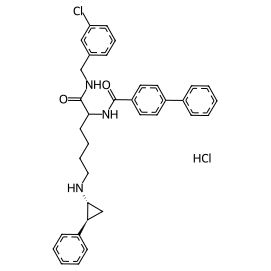 Cl.O=C(NC(CCCCN[C@@H]1C[C@H]1c1ccccc1)C(=O)NCc1cccc(Cl)c1)c1ccc(-c2ccccc2)cc1